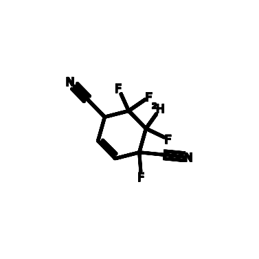 [2H]C1(F)C(F)(C#N)C=CC(C#N)C1(F)F